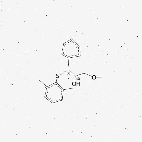 COC[C@H](O)[C@H](Sc1c(C)cccc1C)c1ccccc1